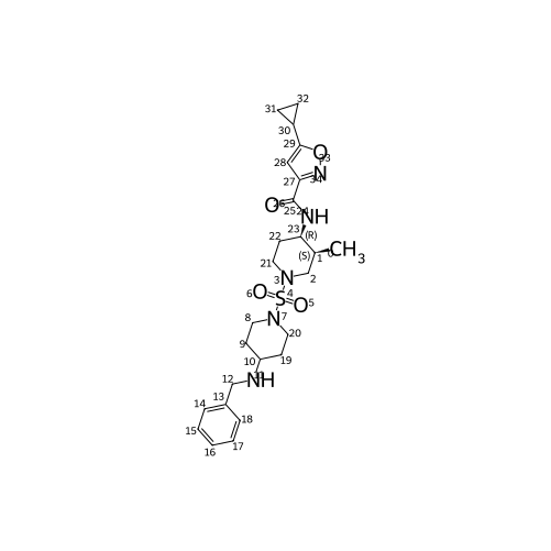 C[C@H]1CN(S(=O)(=O)N2CCC(NCc3ccccc3)CC2)CC[C@H]1NC(=O)c1cc(C2CC2)on1